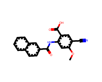 COc1cc(NC(=O)c2ccc3ccccc3c2)c(C(=O)O)cc1C#N